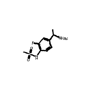 CC(=O)NC(C)c1ccc(NS(C)(=O)=O)c(F)c1